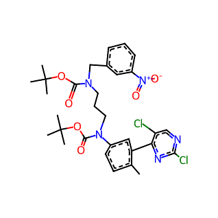 Cc1ccc(N(CCCN(Cc2cccc([N+](=O)[O-])c2)C(=O)OC(C)(C)C)C(=O)OC(C)(C)C)cc1-c1nc(Cl)ncc1Cl